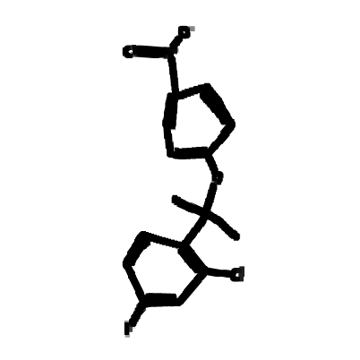 CC(C)(Oc1ccc([N+](=O)[O-])cc1)c1ccc(F)cc1Cl